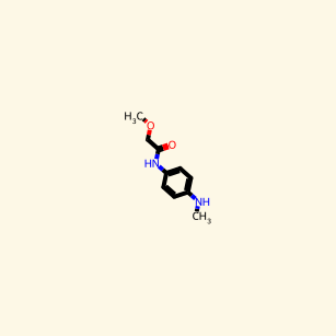 CNc1ccc(NC(=O)COC)cc1